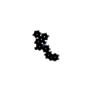 Cc1ccc2c(c1)c1cc(-c3ccc4c(c3)-c3ccccc3C4)ccc1n2Cc1c2ccccc2c(-c2ccccc2)c2ccccc12